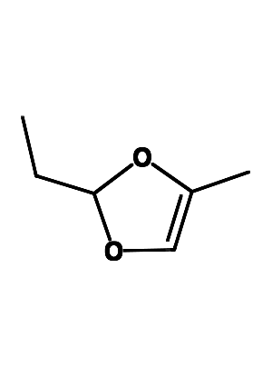 CCC1OC=C(C)O1